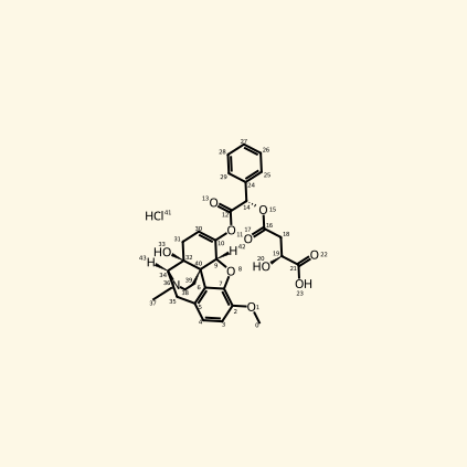 COc1ccc2c3c1O[C@H]1C(OC(=O)[C@@H](OC(=O)C[C@H](O)C(=O)O)c4ccccc4)=CC[C@@]4(O)[C@@H](C2)N(C)CC[C@]314.Cl